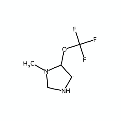 CN1CN[CH]C1OC(F)(F)F